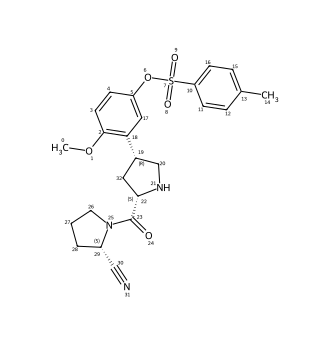 COc1ccc(OS(=O)(=O)c2ccc(C)cc2)cc1[C@@H]1CN[C@H](C(=O)N2CCC[C@H]2C#N)C1